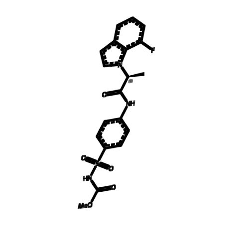 COC(=O)NS(=O)(=O)c1ccc(NC(=O)[C@H](C)n2ccc3cccc(F)c32)cc1